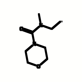 [CH2]CN(C)C(=O)N1CCOCC1